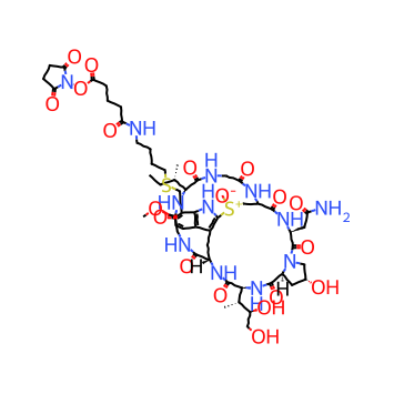 CC[C@H](C)[C@@H]1NC(=O)CNC(=O)[C@@H]2Cc3c([nH]c4c(CSCCCCNC(=O)CCCC(=O)ON5C(=O)CCC5=O)c(OC)ccc34)[S+]([O-])CC(NC(=O)CNC1=O)C(=O)N[C@@H](CC(N)=O)C(=O)N1C[C@H](O)C[C@H]1C(=O)N[C@@H]([C@@H](C)[C@@H](O)CO)C(=O)N2